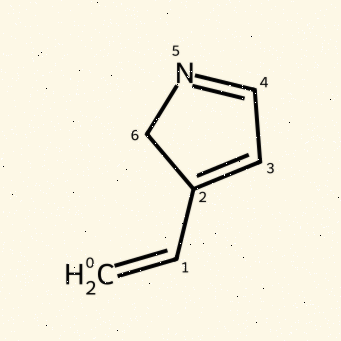 C=CC1=CC=NC1